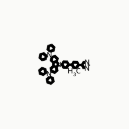 Cc1cc(-c2ccc(-n3c4ccc(N(c5ccccc5)c5ccccc5)cc4c4cc(N(c5ccccc5)c5ccccc5)ccc43)cc2)ccc1-c1cncnc1